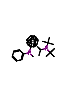 CC(P(C(C)(C)C)C(C)(C)C)[C@@]12[CH]3[CH]4[CH]5[C]1(P(C)c1ccccc1)[Fe]45321678[CH]2[CH]1[CH]6[CH]7[CH]28